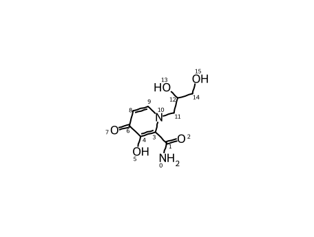 NC(=O)c1c(O)c(=O)ccn1CC(O)CO